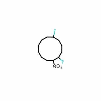 O=[N+]([O-])C1CCCCCCC(F)CCCC1F